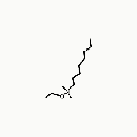 CCCCCCCC[Si](C)(C)OCC